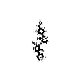 C=C/C(=B\c1c(OC)ncc(C2CCOCC2)c1C)NC(=O)c1ccc(COC)cc1